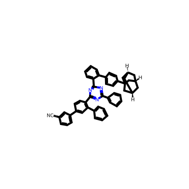 N#Cc1cccc(-c2ccc(-c3nc(-c4ccccc4)nc(-c4ccccc4-c4ccc(C56C[C@H]7C[C@H](C5)C[C@@H](C6)C7)cc4)n3)c(-c3ccccc3)c2)c1